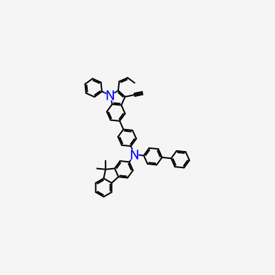 C#Cc1c(/C=C\C)n(-c2ccccc2)c2ccc(-c3ccc(N(c4ccc(-c5ccccc5)cc4)c4ccc5c(c4)C(C)(C)c4ccccc4-5)cc3)cc12